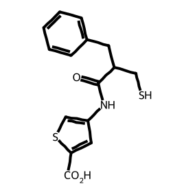 O=C(O)c1cc(NC(=O)C(CS)Cc2ccccc2)cs1